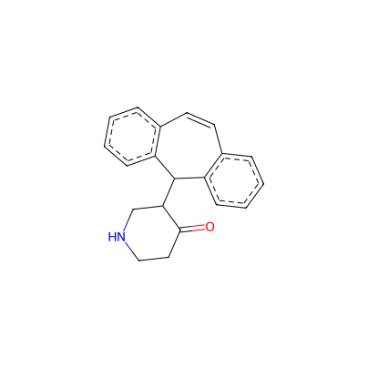 O=C1CCNCC1C1c2ccccc2C=Cc2ccccc21